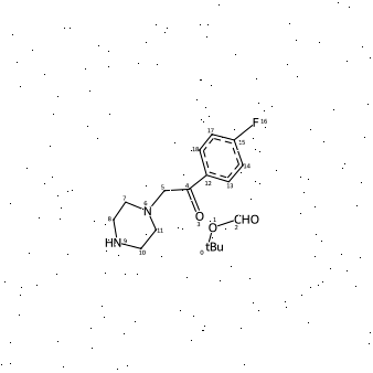 CC(C)(C)OC=O.O=C(CN1CCNCC1)c1ccc(F)cc1